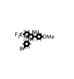 COc1ccc(C2=C(N)c3ccc(C(F)(F)F)nc3N(c3ccc(Br)cc3)C2)cc1